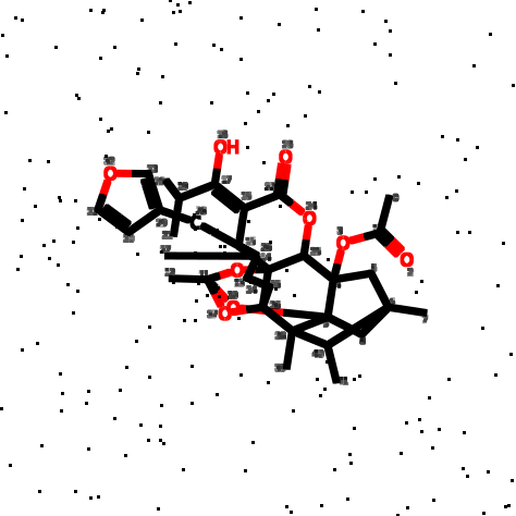 CC(=O)OC12CC3(C)CC14OC1(C)OC56C(/C(=C(/O)C(C)C)C(=O)OC25)C(C)(Cc2ccoc2)CCC6(O1)C4(C)C3C